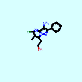 Cc1c(Cl)nc2c(N)c(-c3ccccc3)nn2c1CCO